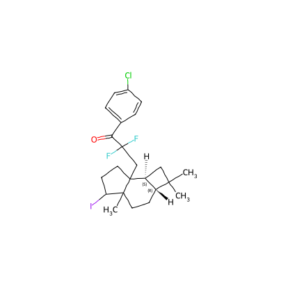 CC1(C)C[C@H]2[C@H]1CCC1(C)C(I)CCC21CC(F)(F)C(=O)c1ccc(Cl)cc1